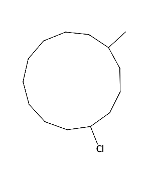 CC1CCCCCCCCC(Cl)CCC1